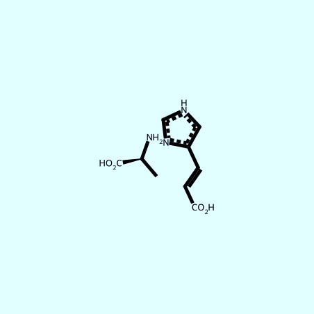 C[C@H](N)C(=O)O.O=C(O)/C=C/c1c[nH]cn1